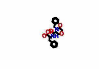 O=C(N[C@@H](Cc1ccccc1)C(=O)O)C1COCC(=O)N1Cc1ccccc1